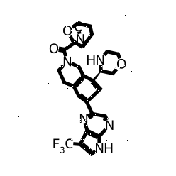 O=C(N1CCc2cc(-c3cnc4[nH]cc(C(F)(F)F)c4n3)cc([C@@H]3COCCN3)c2C1)N1CC2CCC1CO2